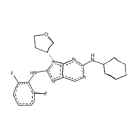 Fc1cccc(F)c1Nc1nc2cnc(NC3CCCCC3)nc2n1[C@@H]1CCOC1